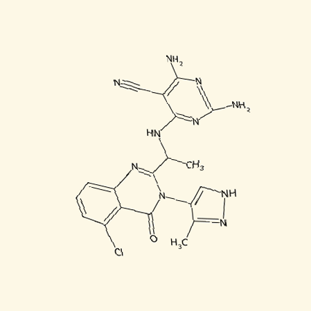 Cc1n[nH]cc1-n1c(C(C)Nc2nc(N)nc(N)c2C#N)nc2cccc(Cl)c2c1=O